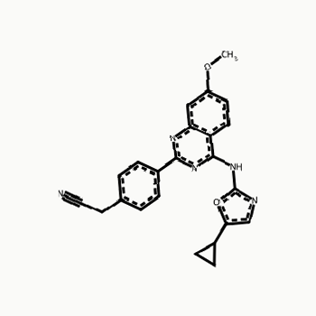 COc1ccc2c(Nc3ncc(C4CC4)o3)nc(-c3ccc(CC#N)cc3)nc2c1